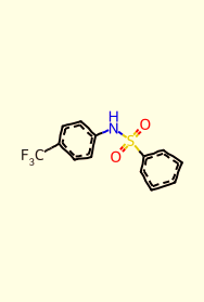 O=S(=O)(Nc1ccc(C(F)(F)F)cc1)c1ccccc1